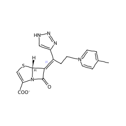 Cc1cc[n+](CC/C(=C2\C(=O)N3C(C(=O)[O-])=CS[C@H]23)c2c[nH]nn2)cc1